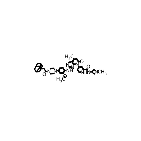 COc1cc(N2CCN(C(=O)CC34CC5CC(CC(C5)C3)C4)CC2)ccc1Nc1ncc2c(C)cc(=O)n(-c3ccnc(C(=O)NC4CN(C)C4)c3)c2n1